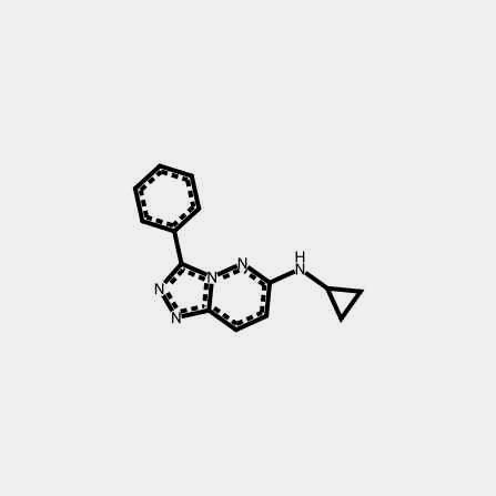 c1ccc(-c2nnc3ccc(NC4CC4)nn23)cc1